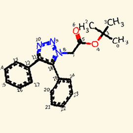 CC(C)(C)OC(=O)Cn1nnc(-c2ccccc2)c1-c1ccccc1